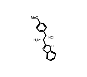 COc1ccc(C[C@@H](N)c2nc3ccccc3[nH]2)cc1.Cl